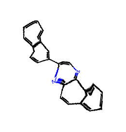 c1ccc2cc(-c3cnc4c(ccc5ccccc54)n3)ccc2c1